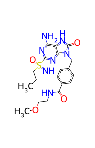 CCCS(=N)(=O)c1nc(N)c2[nH]c(=O)n(Cc3ccc(C(=O)NCCOC)cc3)c2n1